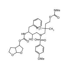 CNC(=O)OCCC(C)(C)CN(CC(O)C(Cc1ccccc1)NC(=O)OC1COC2OCCC12)S(=O)(=O)c1ccc(OC)cc1